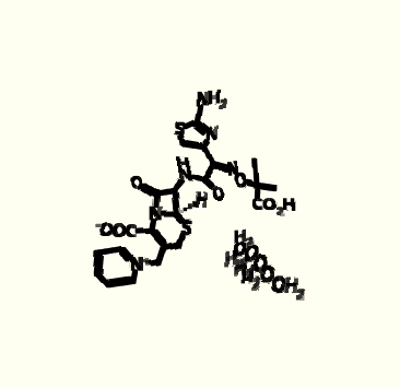 CC(C)(O/N=C(\C(=O)N[C@@H]1C(=O)N2C(C(=O)[O-])=C(C[n+]3ccccc3)CS[C@H]12)c1csc(N)n1)C(=O)O.O.O.O.O.O